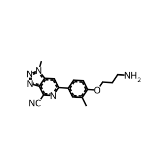 Cc1cc(-c2cc3c(nnn3C)c(C#N)n2)ccc1OCCCN